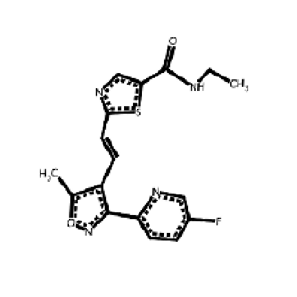 CCNC(=O)c1cnc(C=Cc2c(-c3ccc(F)cn3)noc2C)s1